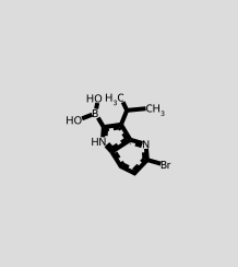 CC(C)c1c(B(O)O)[nH]c2ccc(Br)nc12